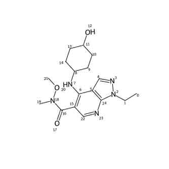 CCn1ncc2c(NC3CCC(O)CC3)c(C(=O)N(C)OC)cnc21